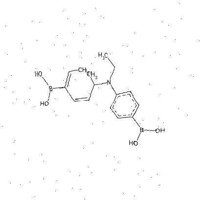 C/C=C(\C=C/C(C)N(CC)c1ccc(B(O)O)cc1)B(O)O